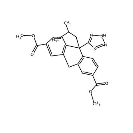 COC(=O)c1ccc2c(c1)Cc1cc(C(=O)OC)ccc1C2(CC(C)C)c1nn[nH]n1